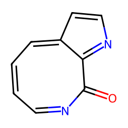 O=c1nccccc2ccnc1-2